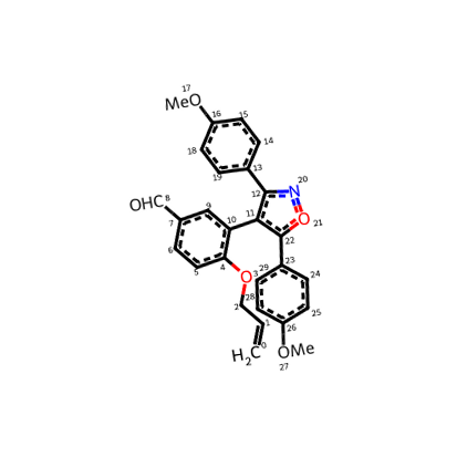 C=CCOc1ccc(C=O)cc1-c1c(-c2ccc(OC)cc2)noc1-c1ccc(OC)cc1